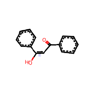 O=C(/C=C(/O)c1ccccc1)c1ccccc1